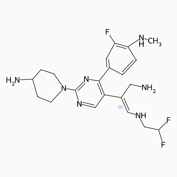 CNc1ccc(-c2nc(N3CCC(N)CC3)ncc2/C(=C/NCC(F)F)CN)cc1F